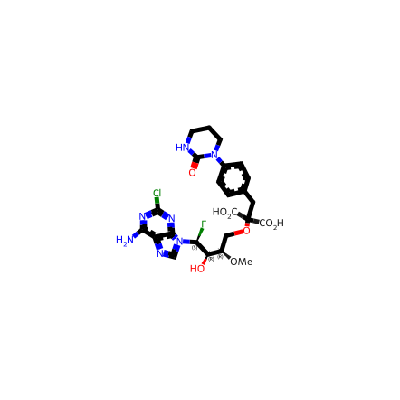 CO[C@H](COC(Cc1ccc(N2CCCNC2=O)cc1)(C(=O)O)C(=O)O)[C@@H](O)[C@H](F)n1cnc2c(N)nc(Cl)nc21